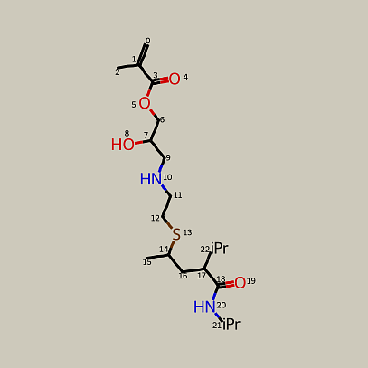 C=C(C)C(=O)OCC(O)CNCCSC(C)CC(C(=O)NC(C)C)C(C)C